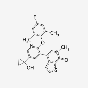 Cc1cc(F)cc(C)c1Oc1ncc(C2(O)CC2)cc1-c1cn(C)c(=O)c2sccc12